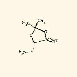 CC[C@H]1COC(C)(C)O1.Cl.Cl